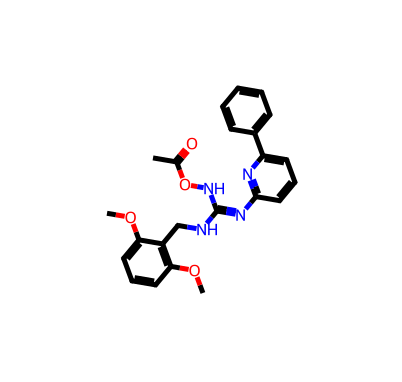 COc1cccc(OC)c1CNC(=Nc1cccc(-c2ccccc2)n1)NOC(C)=O